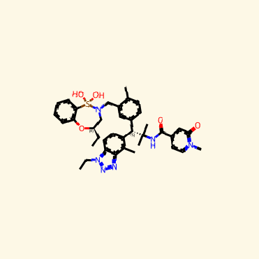 CC[C@@H]1CN(Cc2cc([C@@H](c3ccc4c(nnn4CC)c3C)C(C)(C)NC(=O)c3ccn(C)c(=O)c3)ccc2C)S(O)(O)c2ccccc2O1